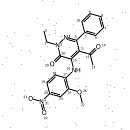 CCn1nc(-c2ccccc2)c(C(C)=O)c(Nc2ccc([N+](=O)[O-])cc2OC)c1=O